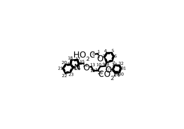 O=C(O)COc1ccccc1C(CC(CCOCc1ccc2ccccc2n1)C(=O)O)Oc1ccccc1